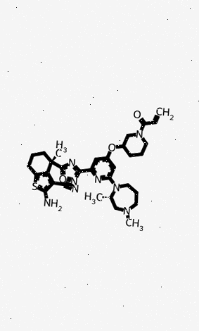 C=CC(=O)N1CCCC(Oc2cc(-c3noc([C@@]4(C)CCCc5sc(N)c(C#N)c54)n3)nc(N3CCCN(C)C[C@@H]3C)c2)C1